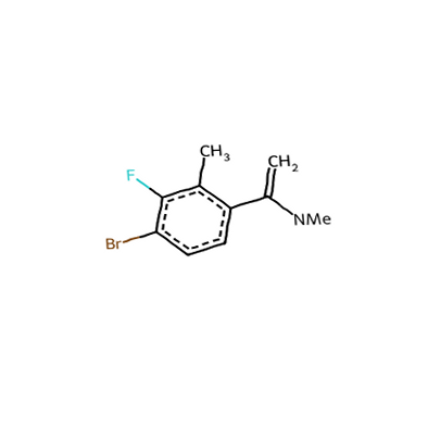 C=C(NC)c1ccc(Br)c(F)c1C